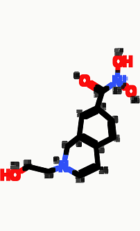 O=C(c1ccc2c(c1)CN(CCO)C=C2)[N+](=O)O